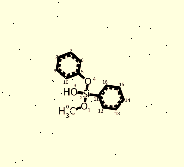 CO[Si](O)(Oc1ccccc1)c1ccccc1